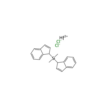 C[Si](C)(C1C=Cc2ccccc21)C1C=Cc2ccccc21.[Cl-].[Cl-].[Hf+2]